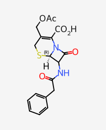 CC(=O)OCC1=C(C(=O)O)N2C(=O)C(NC(=O)Cc3ccccc3)[C@H]2SC1